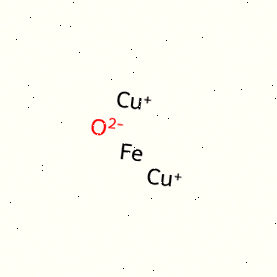 [Cu+].[Cu+].[Fe].[O-2]